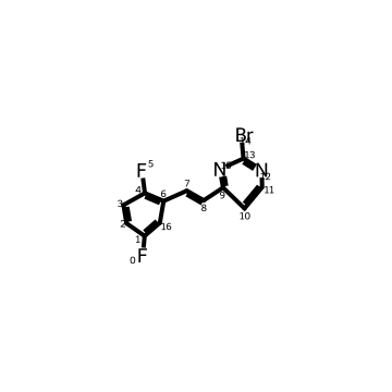 Fc1ccc(F)c(C=Cc2ccnc(Br)n2)c1